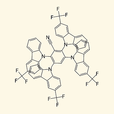 N#Cc1c(-n2c3ccccc3c3cc(C(F)(F)F)ccc32)c(-n2c3ccccc3c3cc(C(F)(F)F)ccc32)cc(-n2c3ccccc3c3cc(C(F)(F)F)ccc32)c1-n1c2ccccc2c2cc(C(F)(F)F)ccc21